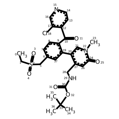 CCS(=O)(=O)Cc1ccc(C(=O)c2ccncc2Cl)c(-c2cn(C)c(=O)cc2CNC(=O)OC(C)(C)C)c1